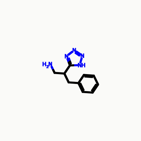 NCC(Cc1ccccc1)c1nnn[nH]1